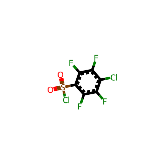 O=S(=O)(Cl)c1c(F)c(F)c(Cl)c(F)c1F